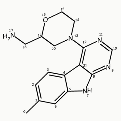 Cc1ccc2c(c1)[nH]c1ncnc(N3CCOC(CN)C3)c12